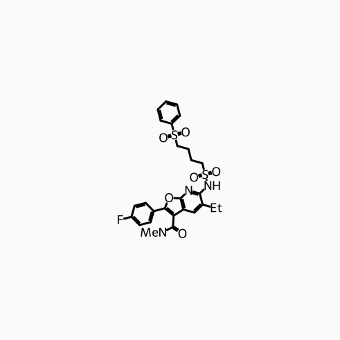 CCc1cc2c(C(=O)NC)c(-c3ccc(F)cc3)oc2nc1NS(=O)(=O)CCCCS(=O)(=O)c1ccccc1